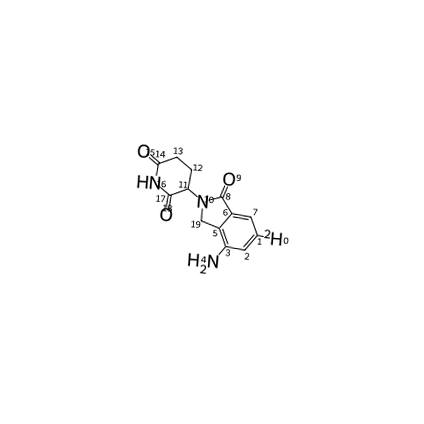 [2H]c1cc(N)c2c(c1)C(=O)N(C1CCC(=O)NC1=O)C2